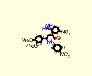 COc1ccc(C2=NN(c3ccc([N+](=O)[O-])cc3)C(=O)CC2)cc1OC.NNc1ccc([N+](=O)[O-])cc1